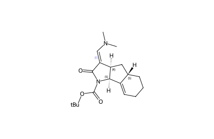 CN(C)/C=C1/C(=O)N(C(=O)OC(C)(C)C)[C@@H]2C3=CCCC[C@H]3C[C@H]12